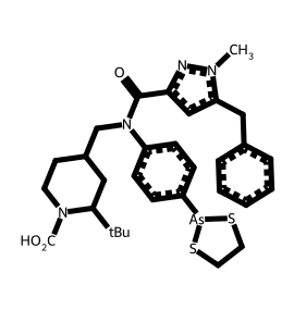 Cn1nc(C(=O)N(CC2CCN(C(=O)O)C(C(C)(C)C)C2)c2ccc([As]3SCCS3)cc2)cc1Cc1ccccc1